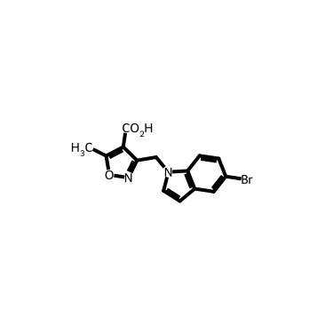 Cc1onc(Cn2ccc3cc(Br)ccc32)c1C(=O)O